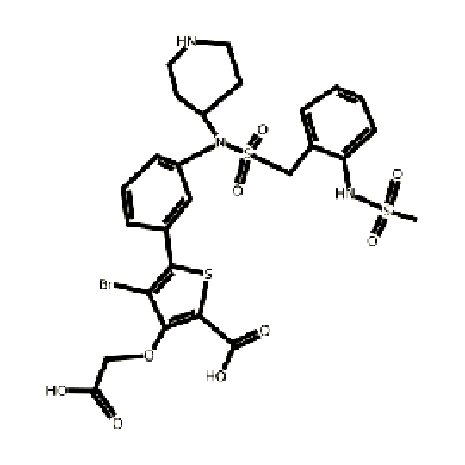 CS(=O)(=O)Nc1ccccc1CS(=O)(=O)N(c1cccc(-c2sc(C(=O)O)c(OCC(=O)O)c2Br)c1)C1CCNCC1